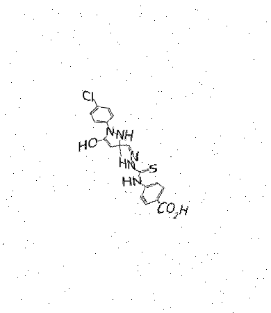 CC1(/C=N\NC(=S)Nc2ccc(C(=O)O)cc2)C=C(O)N(c2ccc(Cl)cc2)N1